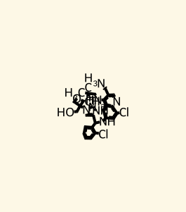 CC(C)(C)CNc1c(C#N)cnc2c(Cl)cc(NC(C3=CN(C4(CO)COC4)NN3)c3ccccc3Cl)cc12